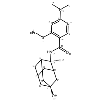 CCCSc1nc(N(C)C)ncc1C(=O)N[C@H]1C2CC3CC1C[C@@](O)(C3)C2